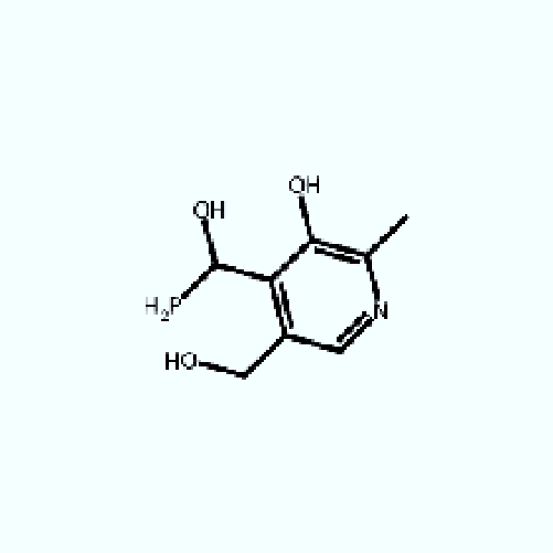 Cc1ncc(CO)c(C(O)P)c1O